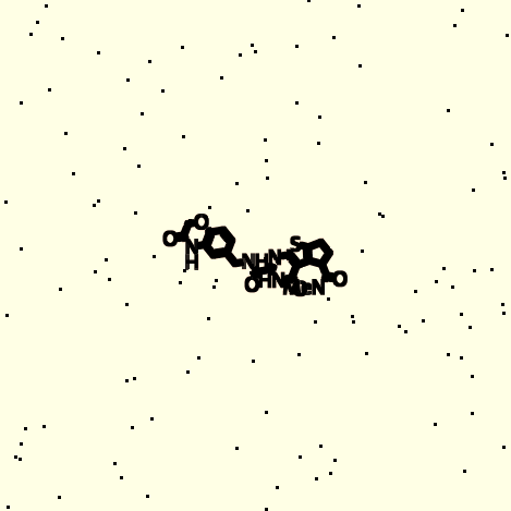 CNC(=O)C1CCc2sc3nc(C(=O)NCc4ccc5c(c4)NC(=O)CO5)[nH]c(=O)c3c21